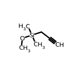 C#CC[Si](C)(C)OC